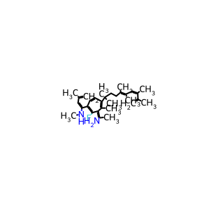 C=C(C)/C=C(/NC)C1=C(F)/C(=C(/C)N)C(C)=C(C(C)(C)CC/C(C)=C(C)/C=C(/C)C(=C)C)C=C1